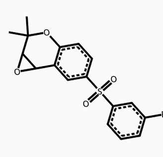 CC1(C)Oc2ccc(S(=O)(=O)c3cccc(F)c3)cc2C2OC21